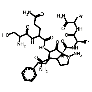 CC(C)C(NC(=O)C(NC(=O)[C@]1(C(=O)C(CC(N)=O)NC(=O)C(CCC(N)=O)NC(=O)C(N)CO)C(CCCc2ccccc2)CCN1N)C(C)C)C(N)=O